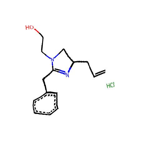 C=CCC1CN(CCO)C(Cc2ccccc2)=N1.Cl